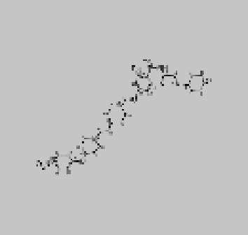 O=c1[nH]c(CSC2CCOCC2)nc2cc(OCC3CCN(CCN4CCC(Oc5ccc([N+](=O)[O-])cc5)CC4)CC3)cc(F)c12